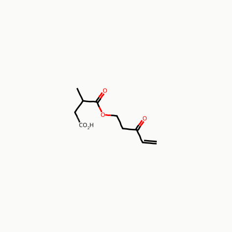 C=CC(=O)CCOC(=O)C(C)CC(=O)O